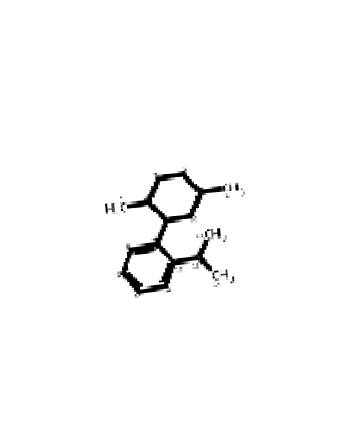 CC1CCC(C)C(c2ccccc2C(C)C)C1